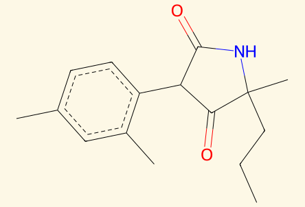 CCCC1(C)NC(=O)C(c2ccc(C)cc2C)C1=O